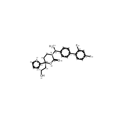 C[C@@H](c1ccc(-c2ccc(F)cc2F)cc1)N1CC[C@@](CCO)(c2cccs2)OC1=O